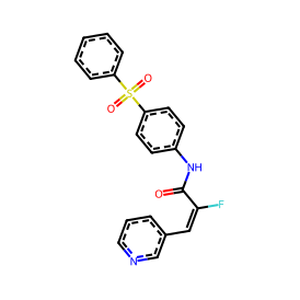 O=C(Nc1ccc(S(=O)(=O)c2ccccc2)cc1)/C(F)=C\c1cccnc1